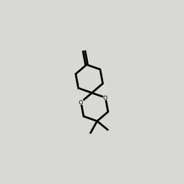 C=C1CCC2(CC1)OCC(C)(C)CO2